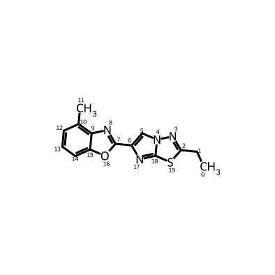 CCc1nn2cc(-c3nc4c(C)cccc4o3)nc2s1